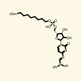 CCCCCCCCCCCCCCCCCCOP(=O)(O)OC[C@H]1O[C@@H](n2ccc(/N=C/N(CCC)CCC)nc2=O)C(O)[C@H]1O